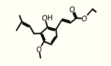 CCOC(=O)/C=C/c1ccc(OC)c(CC=C(C)C)c1O